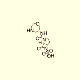 O=C(N[C@@H]1CNCCOC1)N1CCC2[C@H]1C(=O)N2S(=O)(=O)O